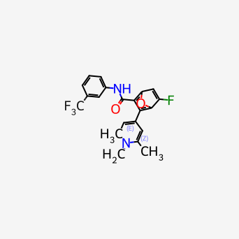 C=N/C(C)=C\C(=C/C)c1c(C(=O)Nc2cccc(C(F)(F)F)c2)c2cc(F)c1o2